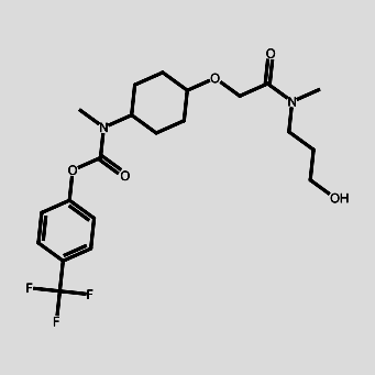 CN(CCCO)C(=O)COC1CCC(N(C)C(=O)Oc2ccc(C(F)(F)F)cc2)CC1